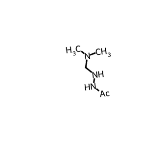 CC(=O)NNCN(C)C